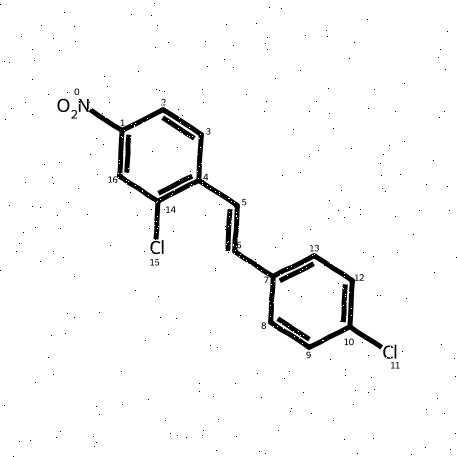 O=[N+]([O-])c1ccc(/C=C/c2ccc(Cl)cc2)c(Cl)c1